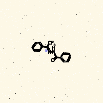 O=C(N/N=C(/c1ccccc1)C(F)(F)F)c1ccccc1